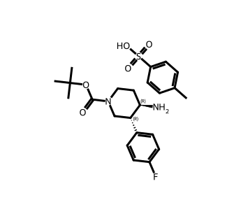 CC(C)(C)OC(=O)N1CC[C@@H](N)[C@H](c2ccc(F)cc2)C1.Cc1ccc(S(=O)(=O)O)cc1